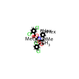 CCCCCCc1ccc(N(C(OC(=O)c2cc(Cl)ccc2Cl)C(C)OC)C(OC(=O)c2cc(Cl)ccc2Cl)C(C)OC)cc1CCCCCC